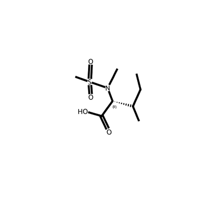 CCC(C)[C@H](C(=O)O)N(C)S(C)(=O)=O